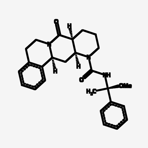 CO[C@@](C)(NC(=O)N1CCC[C@@H]2C(=O)N3CCc4ccccc4[C@@H]3C[C@@H]21)c1ccccc1